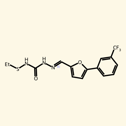 CCSNC(=O)N/N=C/c1ccc(-c2cccc(C(F)(F)F)c2)o1